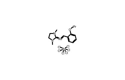 CC(C)Oc1ccccc1[CH]=[Ru]=[C]1N(C)CCN1C.[Cl][Ru]([Cl])([Cl])([Cl])([Cl])[Cl]